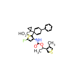 Cc1cscc1[C@@H](C)OC(=O)Nc1cc(F)sc1C1(C2(C(=O)O)CC2)C=CC(c2ccccc2)C=C1